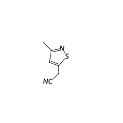 Cc1cc(CC#N)sn1